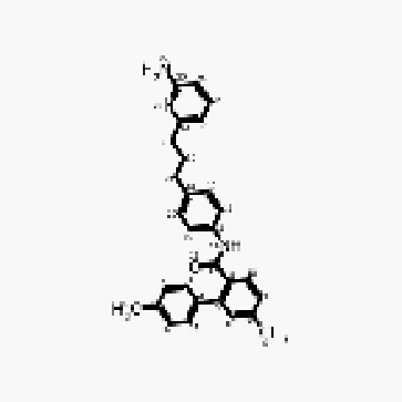 Cc1ccc(-c2cc(C)ccc2C(=O)Nc2ccc(CCCc3cccc(N)n3)cc2)cc1